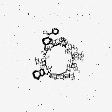 CC1NC(=O)C(C)(C)NC(=O)C(C)N[C@@H](C)C(C)(C)NC(=O)C(Cc2ccc3ccccc3c2)NC(=O)C(C)(C)NC(=O)C(Cc2ccc(C(=O)c3ccccc3)cc2)NC(=O)C(C)(C)NC1=O